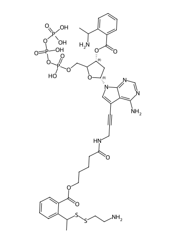 CC(N)c1ccccc1C(=O)O[C@@H]1C[C@H](n2cc(C#CCNC(=O)CCCCOC(=O)c3ccccc3C(C)SSCCN)c3c(N)ncnc32)OC1COP(=O)(O)OP(=O)(O)OP(=O)(O)O